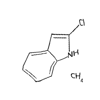 C.Clc1cc2ccccc2[nH]1